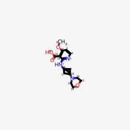 COc1ccnc(NC23CC(N4CCOCC4)(C2)C3)c1C(=O)O